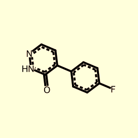 O=c1[nH]nccc1-c1ccc(F)cc1